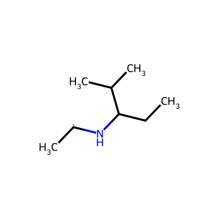 C[CH]NC(CC)C(C)C